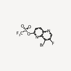 O=S(=O)(Oc1ccc2ncc(F)c(Br)c2n1)C(F)(F)F